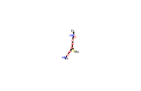 CC/C=C/CNC(=O)CCOCCOCCOC(C)(CCOCCOCCNC(C)C)SSC(C)(C)C